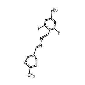 CCCCc1cc(F)c(/C=N/N=C/c2ccc(C(F)(F)F)cc2)c(F)c1